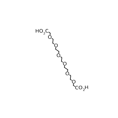 O=C(O)COCCOCCOCCOCCOCCOCC(=O)O